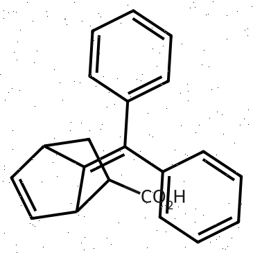 O=C(O)C1CC2C=CC1C2=C(c1ccccc1)c1ccccc1